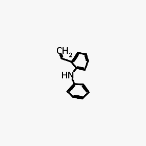 C=Cc1ccccc1Nc1ccccc1